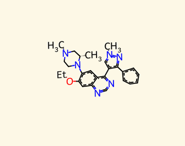 CCOc1cc2ncnc(-c3cn(C)nc3-c3ccccc3)c2cc1N1CCN(C)C[C@@H]1C